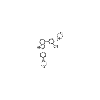 N#Cc1cc(-c2cccc3[nH]c(-c4ccc(N5CCOCC5)cc4)cc23)ccc1CN1CCOCC1